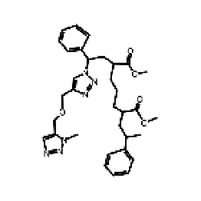 COC(=O)C(CCCC(CC(c1ccccc1)n1cc(COCc2cnnn2C)nn1)C(=O)OC)CC(C)c1ccccc1